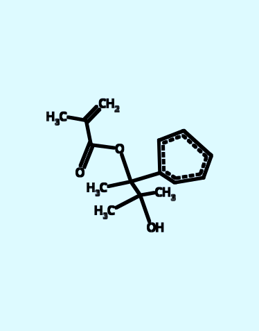 C=C(C)C(=O)OC(C)(c1ccccc1)C(C)(C)O